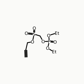 C#CCOS(=O)(=O)COP(=O)(OCC)OCC